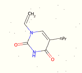 C=Cn1cc(CCC)c(=O)[nH]c1=O